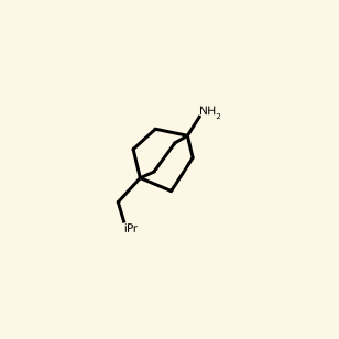 CC(C)CC12CCC(N)(CC1)CC2